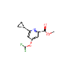 COC(=O)c1cc(OC(F)F)cc(C2CC2)n1